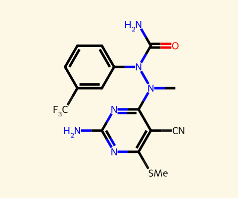 CSc1nc(N)nc(N(C)N(C(N)=O)c2cccc(C(F)(F)F)c2)c1C#N